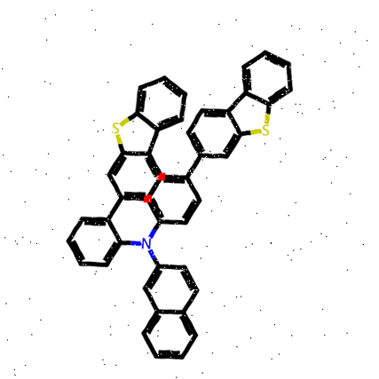 c1ccc(N(c2ccc(-c3ccc4c(c3)sc3ccccc34)cc2)c2ccc3ccccc3c2)c(-c2ccc3c(c2)sc2ccccc23)c1